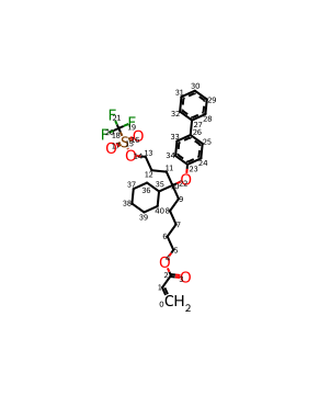 C=CC(=O)OCCCCCC(CCCOS(=O)(=O)C(F)(F)F)(Oc1ccc(-c2ccccc2)cc1)C1CCCCC1